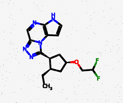 CC[C@@H]1C[C@H](OCC(F)F)C[C@@H]1c1nnc2cnc3[nH]ccc3n12